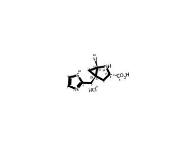 Cl.O=C(O)[C@@H]1C[C@]2(Cc3nccs3)C[C@@H]2N1